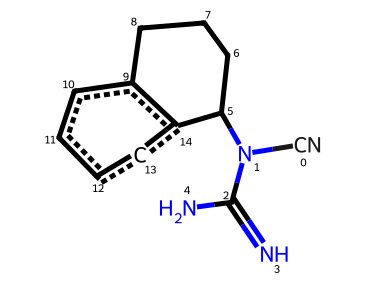 N#CN(C(=N)N)C1CCCc2ccccc21